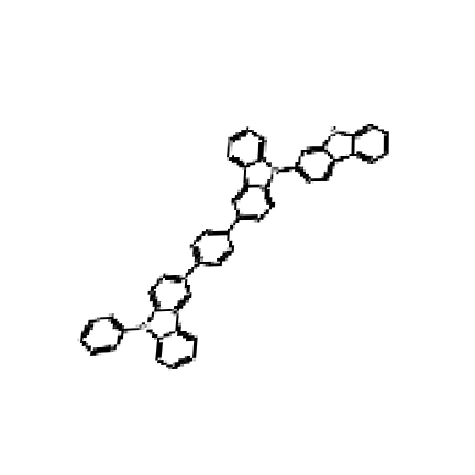 c1ccc(-n2c3ccccc3c3cc(-c4ccc(-c5ccc6c(c5)c5ccccc5n6-c5ccc6c(c5)sc5ccccc56)cc4)ccc32)cc1